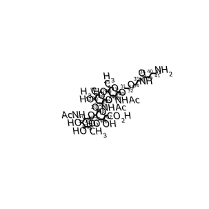 CC(=O)NC1C(O)[C@H](O)C(C)O[C@H]1OC1C(O)[C@H](O)C(C(=O)O)O[C@H]1OC1C(NC(C)=O)[C@H](OC2C(NC(C)=O)[C@H](OCCOCCNC(=O)CCCN)OC(C)[C@@H]2O)OC(C)[C@H]1O